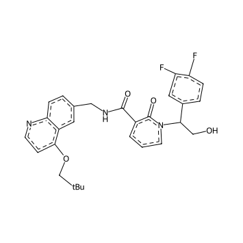 CC(C)(C)COc1ccnc2ccc(CNC(=O)c3cccn(C(CO)c4ccc(F)c(F)c4)c3=O)cc12